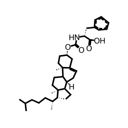 CC(C)CCC[C@@H](C)[C@H]1CCC2[C@@H]3CC=C4C[C@@H](OC(=O)N[C@H](Cc5ccccc5)C(=O)O)CC[C@]4(C)C3CC[C@@]21C